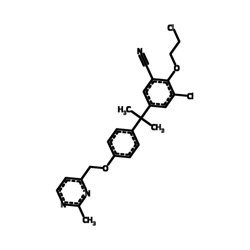 Cc1nccc(COc2ccc(C(C)(C)c3cc(Cl)c(OCCCl)c(C#N)c3)cc2)n1